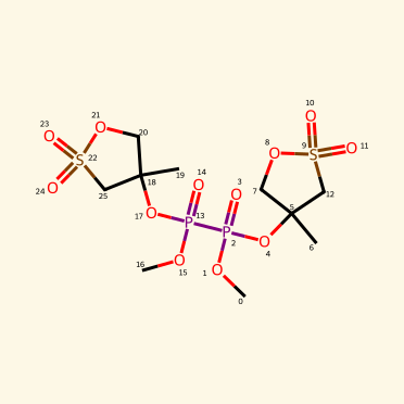 COP(=O)(OC1(C)COS(=O)(=O)C1)P(=O)(OC)OC1(C)COS(=O)(=O)C1